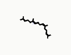 CC(C)=CCCC(C)=CCC/C=C(\C)CCC=C(C)C